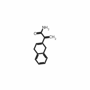 C=C(C(N)=O)C1=CCc2ccccc2C1